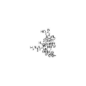 CC(C)(ON=C(C(=O)N[C@@H]1C(=O)N(S(=O)(=O)O)[C@@H]1CNC(=O)NCc1cc(-c2cc(=O)c(O)cn2O)no1)c1csc(N)n1)C(=O)O